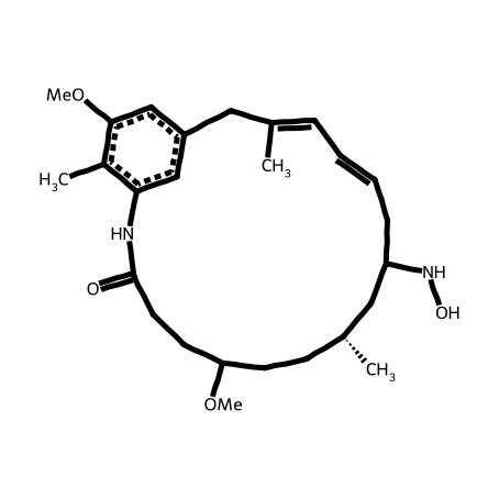 COc1cc2cc(c1C)NC(=O)CCC(OC)CC[C@@H](C)CC(NO)C/C=C/C=C(\C)C2